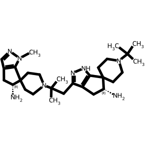 Cn1ncc2c1C1(CCN(C(C)(C)Cc3n[nH]c4c3C[C@@H](N)C43CCN(C(C)(C)C)CC3)CC1)[C@H](N)C2